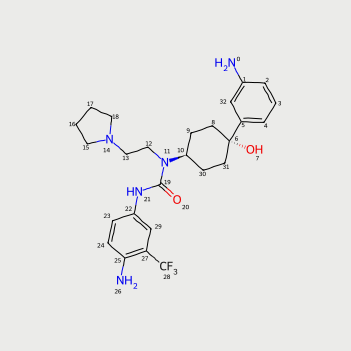 Nc1cccc([C@]2(O)CC[C@H](N(CCN3CCCC3)C(=O)Nc3ccc(N)c(C(F)(F)F)c3)CC2)c1